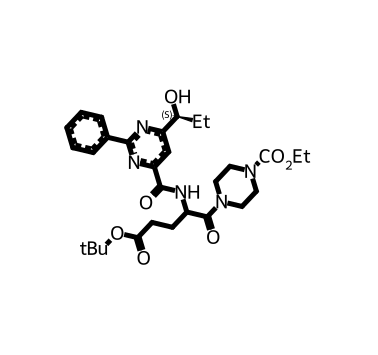 CCOC(=O)N1CCN(C(=O)C(CCC(=O)OC(C)(C)C)NC(=O)c2cc([C@@H](O)CC)nc(-c3ccccc3)n2)CC1